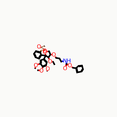 CCOC1C(OCCCNC(=O)OCc2ccccc2)COC1(c1cc(OC)c(OC)c(OC)c1)c1ccccc1S(C)(=O)=O